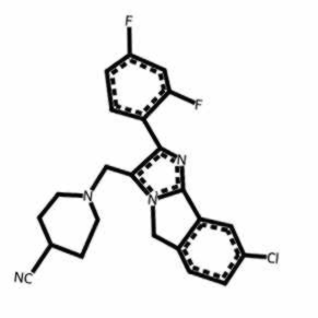 N#CC1CCN(Cc2c(-c3ccc(F)cc3F)nc3n2Cc2ccc(Cl)cc2-3)CC1